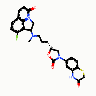 CN(CCC[C@@H]1CN(c2ccc3c(c2)NC(=O)CS3)C(=O)O1)C1Cn2c(=O)ccc3ccc(F)c1c32